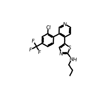 CCCNc1ncc(-c2ccncc2-c2ccc(C(F)(F)F)cc2Cl)s1